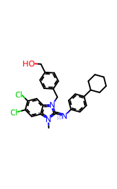 Cn1/c(=N/c2ccc(C3CCCCC3)cc2)n(Cc2ccc(CO)cc2)c2cc(Cl)c(Cl)cc21